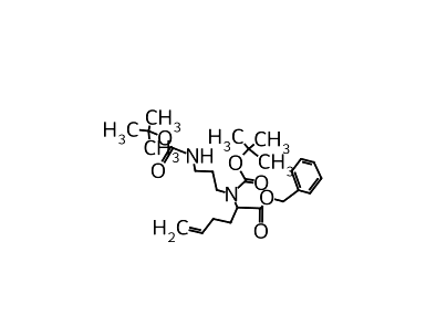 C=CCCC(C(=O)OCc1ccccc1)N(CCCNC(=O)OC(C)(C)C)C(=O)OC(C)(C)C